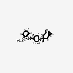 CCCC(C)(CC1CC1)N1CCC(Nc2ccccc2N)CC1